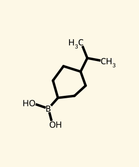 CC(C)C1CCC(B(O)O)CC1